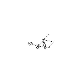 CCCCCC/C=C\COC(=O)CCCN(CCCC(=O)OC(CCCCCC)CCCCCCC)C(=O)SCCCn1ccnc1C